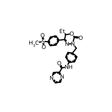 CCC1OC(=O)N(Cc2ccc(NC(=O)c3cnccn3)cc2)N=C1c1ccc(S(C)(=O)=O)cc1